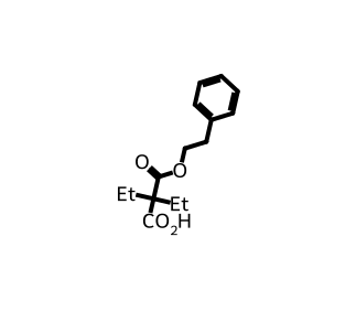 CCC(CC)(C(=O)O)C(=O)OCCc1ccccc1